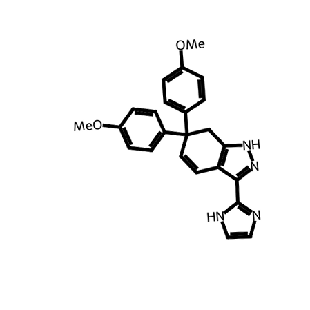 COc1ccc(C2(c3ccc(OC)cc3)C=Cc3c(-c4ncc[nH]4)n[nH]c3C2)cc1